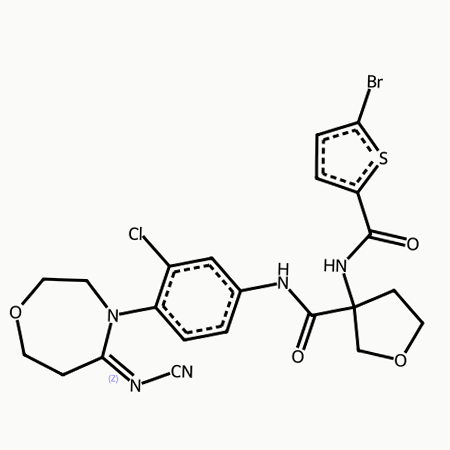 N#C/N=C1/CCOCCN1c1ccc(NC(=O)C2(NC(=O)c3ccc(Br)s3)CCOC2)cc1Cl